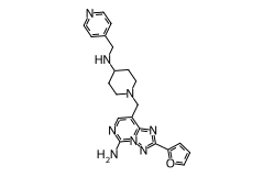 Nc1ncc(CN2CCC(NCc3ccncc3)CC2)c2nc(-c3ccco3)nn12